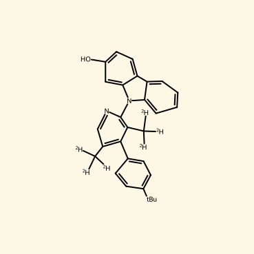 [2H]C([2H])([2H])c1cnc(-n2c3ccccc3c3ccc(O)cc32)c(C([2H])([2H])[2H])c1-c1ccc(C(C)(C)C)cc1